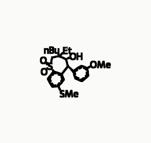 CCCC[C@]1(CC)CS(=O)(=O)c2ccc(SC)cc2[C@H](c2cccc(OC)c2)[C@@H]1O